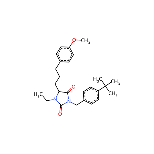 CCN1C(=O)N(Cc2ccc(C(C)(C)C)cc2)C(=O)C1CCCc1ccc(OC)cc1